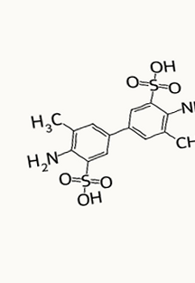 Cc1cc(-c2cc(C)c(N)c(S(=O)(=O)O)c2)cc(S(=O)(=O)O)c1N